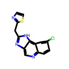 Clc1ccc2ncc3nc(Cc4nccs4)[nH]c3c2c1